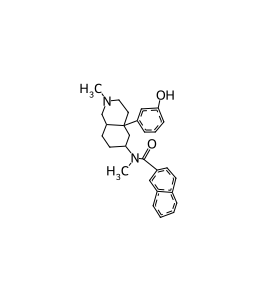 CN1CCC2(c3cccc(O)c3)CC(N(C)C(=O)c3ccc4ccccc4c3)CCC2C1